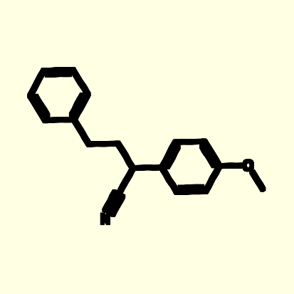 COc1ccc(C(C#N)CCc2ccccc2)cc1